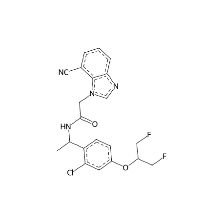 CC(NC(=O)Cn1cnc2cccc(C#N)c21)c1ccc(OC(CF)CF)cc1Cl